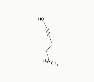 C.CCCC#CO